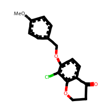 COc1ccc(COc2ccc3c(c2Cl)OCCC3=O)cc1